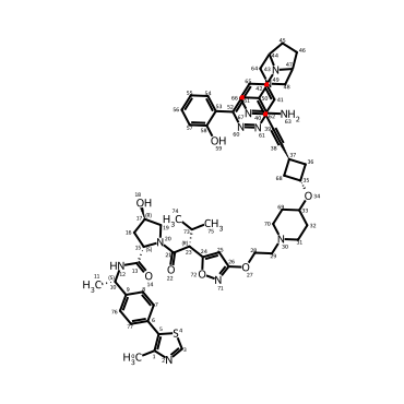 Cc1ncsc1-c1ccc([C@H](C)NC(=O)[C@@H]2C[C@@H](O)CN2C(=O)[C@@H](c2cc(OCCN3CCC(O[C@H]4C[C@H](C#Cc5cc(N6C7CCC6CN(c6cc(-c8ccccc8O)nnc6N)C7)ccn5)C4)CC3)no2)C(C)C)cc1